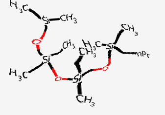 CCC[Si](C)(C)O[Si](C)(C)O[Si](C)(C)O[Si](C)C